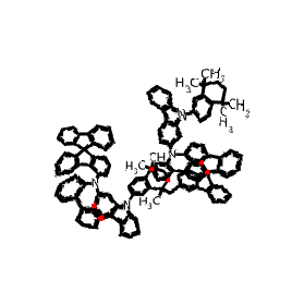 CC1(C)CCC(C)(C)c2cc(-n3c4ccccc4c4ccc(N(c5ccc6c(c5)C5(c7ccccc7-c7cc(CC8(C)CCC(C)(C)c9ccc(-n%10c%11ccccc%11c%11ccc(N(c%12ccccc%12-c%12ccccc%12)c%12cccc%13c%12-c%12ccccc%12C%13%12c%13ccccc%13-c%13ccccc%13%12)cc%11%10)cc98)ccc75)c5ccccc5-6)c5ccccc5-c5ccccc5)cc43)ccc21